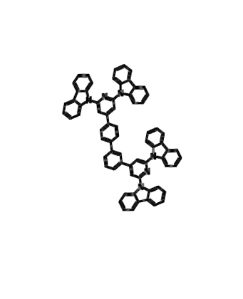 c1cc(-c2ccc(-c3cc(-n4c5ccccc5c5ccccc54)nc(-n4c5ccccc5c5ccccc54)c3)cc2)cc(-c2cc(-n3c4ccccc4c4ccccc43)nc(-n3c4ccccc4c4ccccc43)c2)c1